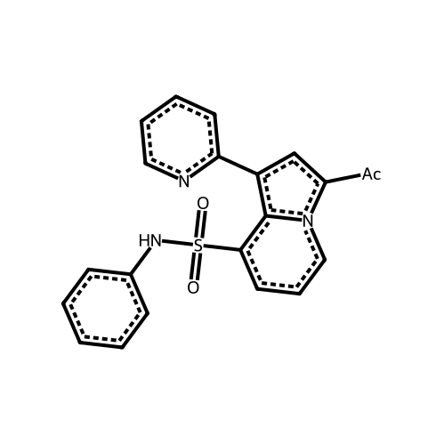 CC(=O)c1cc(-c2ccccn2)c2c(S(=O)(=O)Nc3ccccc3)cccn12